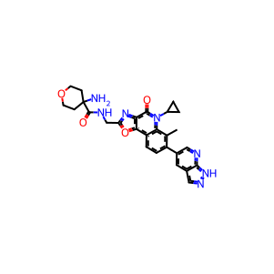 Cc1c(-c2cnc3[nH]ncc3c2)ccc2c3oc(CNC(=O)C4(N)CCOCC4)nc3c(=O)n(C3CC3)c12